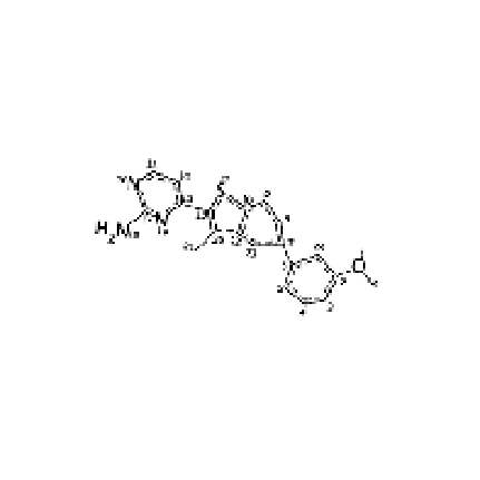 COc1cccc(-c2ccc3sc(-c4ccnc(N)n4)c(C)c3c2)c1